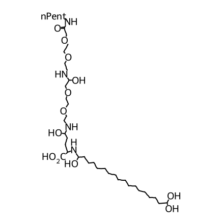 CCCCCNC(=O)COCCOCCNC(O)COCCOCCNC(O)CCC(NC(O)CCCCCCCCCCCCCCCCC(O)O)C(=O)O